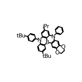 CC(C)c1cc2c3c(c1)N(c1ccccc1)c1cc4c(cc1B3c1cc(C(C)(C)C)ccc1N2c1ccc(C(C)(C)C)cc1)OCCO4